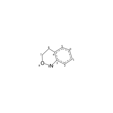 c1ccc2c(c1)CCO[N]2